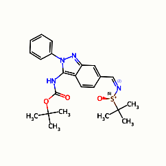 CC(C)(C)OC(=O)Nc1c2ccc(/C=N\[S@+]([O-])C(C)(C)C)cc2nn1-c1ccccc1